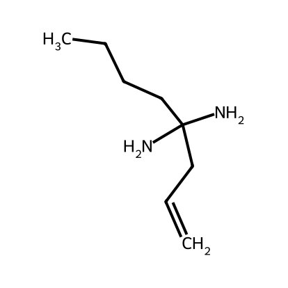 C=CCC(N)(N)CCCC